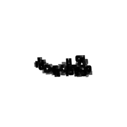 Cc1ccc(-c2ccco2)c(N2C(=O)CS/C2=N\C(=O)Nc2ccc(-c3ncn(-c4ccc(OC(F)(F)F)cc4)n3)cc2F)c1